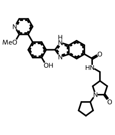 COc1ncccc1-c1ccc(O)c(-c2nc3cc(C(=O)NCC4CC(=O)N(C5CCCC5)C4)ccc3[nH]2)c1